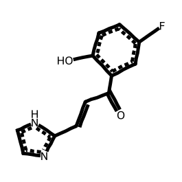 O=C(C=Cc1ncc[nH]1)c1cc(F)ccc1O